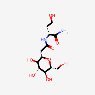 NC(=O)[C@@H](CCO)NC(=O)C[C@@H]1O[C@H](CO)[C@@H](O)[C@H](O)C1O